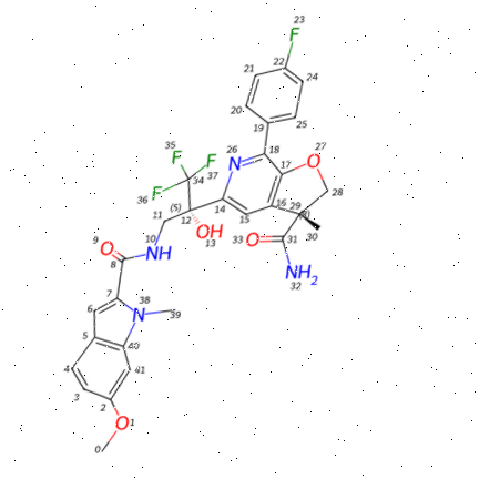 COc1ccc2cc(C(=O)NC[C@](O)(c3cc4c(c(-c5ccc(F)cc5)n3)OC[C@]4(C)C(N)=O)C(F)(F)F)n(C)c2c1